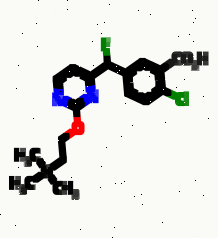 C[Si](C)(C)CCOc1nccc(C(F)c2ccc(Cl)c(C(=O)O)c2)n1